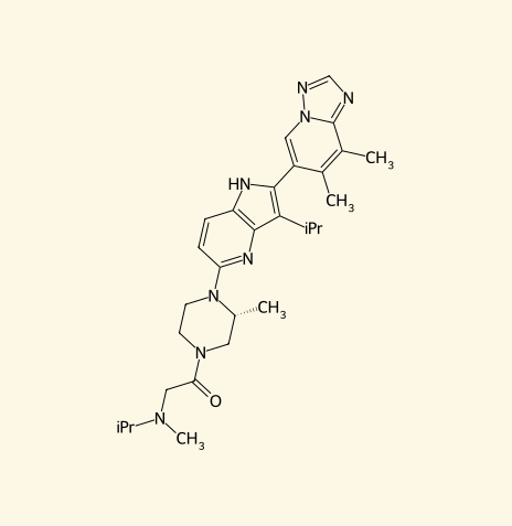 Cc1c(-c2[nH]c3ccc(N4CCN(C(=O)CN(C)C(C)C)C[C@H]4C)nc3c2C(C)C)cn2ncnc2c1C